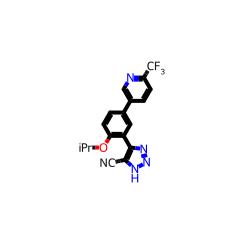 CC(C)Oc1ccc(-c2ccc(C(F)(F)F)nc2)cc1-c1nn[nH]c1C#N